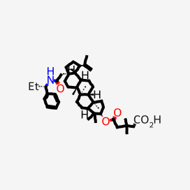 C=C(C)[C@@H]1CC[C@]2(CC(=O)N[C@@H](CC)c3ccccc3)CC[C@]3(C)[C@H](CC[C@@H]4[C@@]5(C)CC[C@H](OC(=O)CC(C)(C)CC(=O)O)C(C)(C)[C@@H]5CC[C@]43C)[C@@H]12